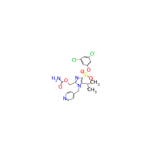 CC(C)c1c(S(=O)(=O)Oc2cc(Cl)cc(Cl)c2)nc(COC(N)=O)n1Cc1ccncc1